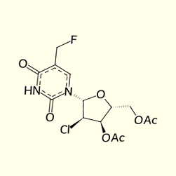 CC(=O)OC[C@H]1O[C@@H](n2cc(CF)c(=O)[nH]c2=O)[C@H](Cl)[C@@H]1OC(C)=O